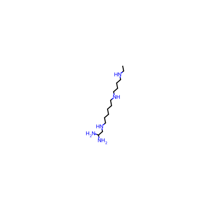 CCNCCCCNCCCCCCNCC(N)N